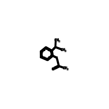 CC(=O)Sc1ccccc1C(C)C